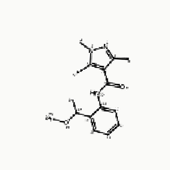 Cc1nn(C)c(F)c1C(=O)Nc1ccccc1C(C)OC(C)C